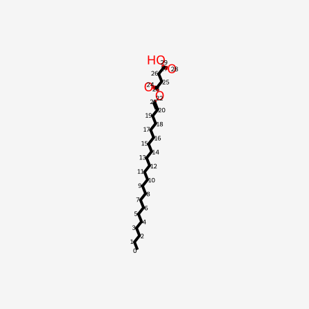 CCCCCCCCCCCCCCCCCCCCC=COC(=O)CCC(=O)O